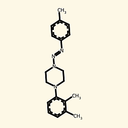 Cc1ccc(N=NN2CCN(c3cccc(C)c3C)CC2)cc1